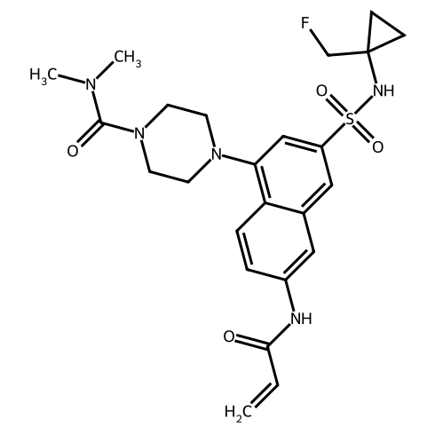 C=CC(=O)Nc1ccc2c(N3CCN(C(=O)N(C)C)CC3)cc(S(=O)(=O)NC3(CF)CC3)cc2c1